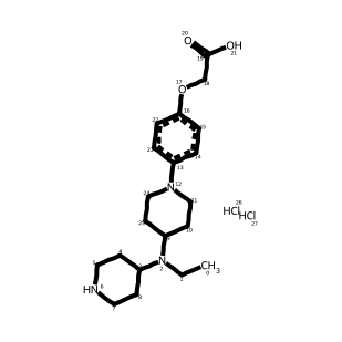 CCN(C1CCNCC1)C1CCN(c2ccc(OCC(=O)O)cc2)CC1.Cl.Cl